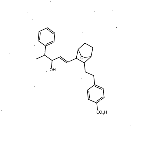 CC(c1ccccc1)C(O)C=CC1C2CCC(O2)C1CCc1ccc(C(=O)O)cc1